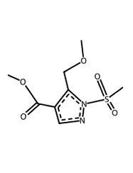 COCc1c(C(=O)OC)cnn1S(C)(=O)=O